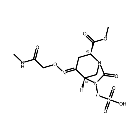 CNC(=O)CON=C1C[C@@H](C(=O)OC)N2C[C@@H]1N(OS(=O)(=O)O)C2=O